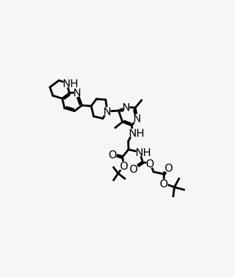 Cc1nc(NCC(NC(=O)OCC(=O)OC(C)(C)C)C(=O)OC(C)(C)C)c(C)c(N2CCC(c3ccc4c(n3)NCCC4)CC2)n1